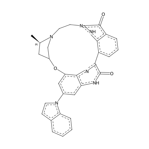 C[C@@H]1CC2CN1CCn1[nH]c3c(cccc3c1=O)-c1nc3c(cc(-n4ccc5ccccc54)cc3[nH]c1=O)O2